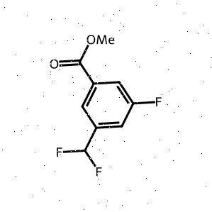 COC(=O)c1cc(F)cc(C(F)F)c1